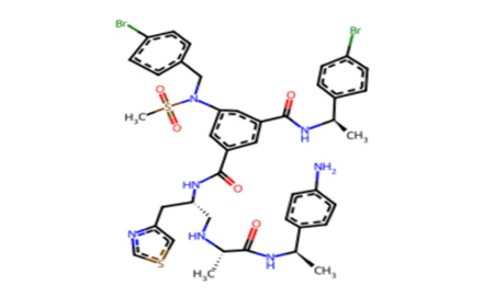 C[C@H](NC[C@H](Cc1cscn1)NC(=O)c1cc(C(=O)N[C@H](C)c2ccc(Br)cc2)cc(N(Cc2ccc(Br)cc2)S(C)(=O)=O)c1)C(=O)N[C@H](C)c1ccc(N)cc1